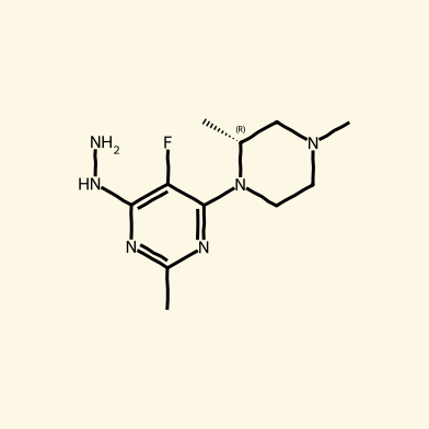 Cc1nc(NN)c(F)c(N2CCN(C)C[C@H]2C)n1